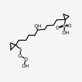 O=S(=O)(O)C1(CCCCC(O)CCCCC2(SOOO)CC2)CC1